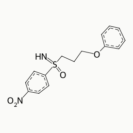 N=S(=O)(CCCOc1ccccc1)c1ccc([N+](=O)[O-])cc1